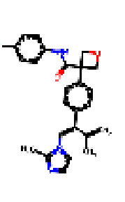 C=C(C)/C(=C\n1ccnc1C)c1ccc(C2(C(=O)Nc3ccc(F)cc3)COC2)cc1